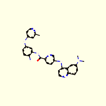 Cc1cc(Nc2ccc(N)c(NC(=O)c3ccc(Nc4ccnc5ccc(N(C)C)cc45)cn3)c2)ccn1